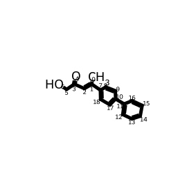 CC(=CC(=O)CO)c1ccc(-c2ccccc2)cc1